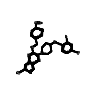 COc1ccc(COc2nc3cc(Cl)ncc3nc2N2CCC(Oc3ccc(F)cc3F)CC2)cc1